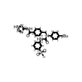 CCC(C)c1ccc(N(Cc2ccc(C(=O)Nc3nn[nH]n3)cc2)C(=O)Nc2cccc(S(C)(=O)=O)c2)cc1